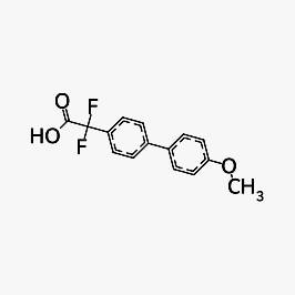 COc1ccc(-c2ccc(C(F)(F)C(=O)O)cc2)cc1